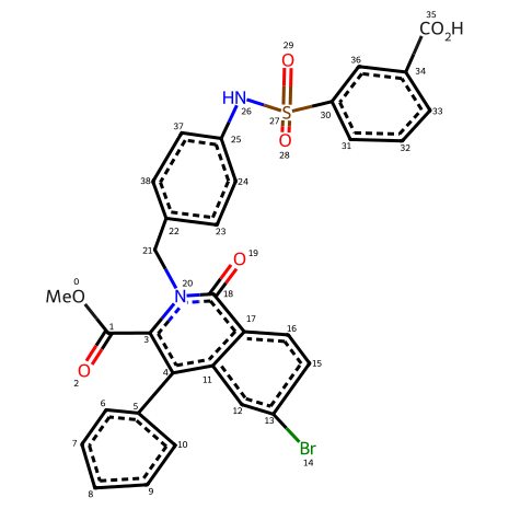 COC(=O)c1c(-c2ccccc2)c2cc(Br)ccc2c(=O)n1Cc1ccc(NS(=O)(=O)c2cccc(C(=O)O)c2)cc1